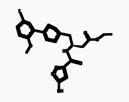 CCOC(=O)C[C@@H](Cc1ccc(-c2cc(F)ccc2OC)cc1)NC(=O)c1cc(O)no1